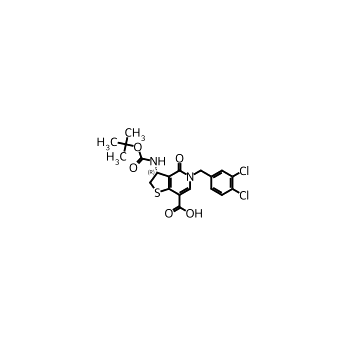 CC(C)(C)OC(=O)N[C@H]1CSc2c(C(=O)O)cn(Cc3ccc(Cl)c(Cl)c3)c(=O)c21